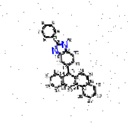 Cn1c(-c2ccccc2)nc2cc(-c3c4ccccc4cc4c3ccc3ccccc34)ccc21